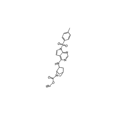 Cc1ccc(S(=O)(=O)n2ccc3c(NC4CC5CC4N(C(=O)OC(C)(C)C)C5)ncnc32)cc1